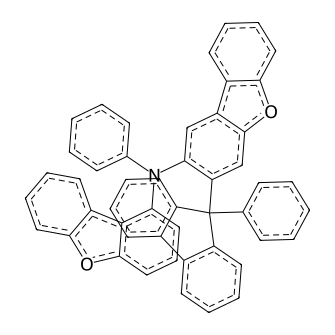 c1ccc(N(c2cc3c(cc2C2(c4ccccc4)c4ccccc4-c4ccccc42)oc2ccccc23)c2cccc3oc4ccccc4c23)cc1